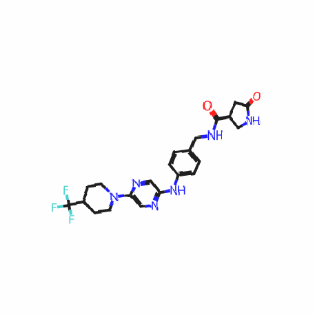 O=C1CC(C(=O)NCc2ccc(Nc3cnc(N4CCC(C(F)(F)F)CC4)cn3)cc2)CN1